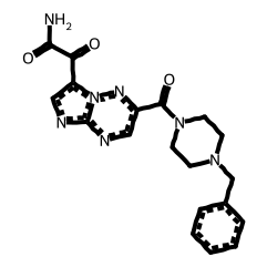 NC(=O)C(=O)c1cnc2ncc(C(=O)N3CCN(Cc4ccccc4)CC3)nn12